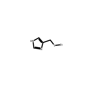 CCSCc1c[nH]cn1